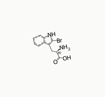 N[C@H](Cc1c(Br)[nH]c2ccccc12)C(=O)O